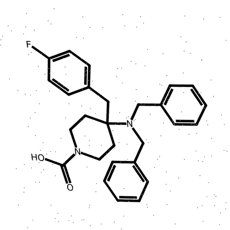 O=C(O)N1CCC(Cc2ccc(F)cc2)(N(Cc2ccccc2)Cc2ccccc2)CC1